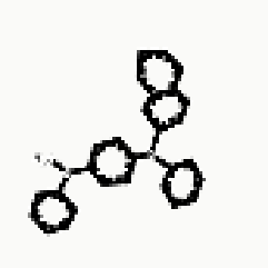 CN(c1ccccc1)c1ccc(N(c2ccccc2)c2ccc3ccccc3c2)cc1